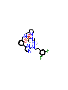 CS(=O)(=O)N(Cc1cccc(-c2ccnc(NCCc3cc(F)cc(F)c3)n2)c1)CC1CCCN1